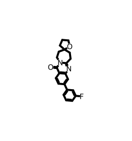 O=c1c2ccc(-c3cccc(F)c3)cc2nc2n1CCC1(CCCO1)CC2